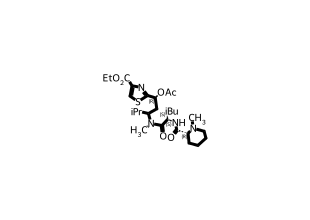 CCOC(=O)c1csc([C@@H](CC(C(C)C)N(C)C(=O)[C@@H](NC(=O)[C@H]2CCCCN2C)[C@@H](C)CC)OC(C)=O)n1